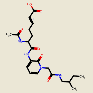 CCC(C)CNC(=O)Cn1cccc(NC(=O)C(CC/C=C/C(=O)O)NC(C)=O)c1=O